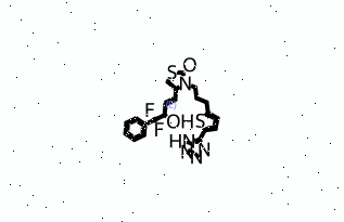 O=C1SCC(/C=C/C(O)C(F)(F)c2ccccc2)N1CCCc1ccc(-c2nnn[nH]2)s1